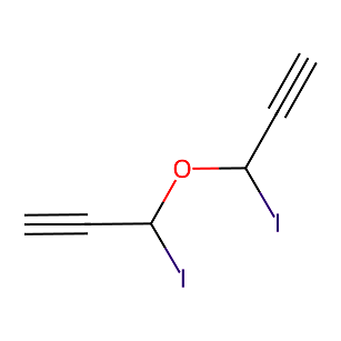 C#CC(I)OC(I)C#C